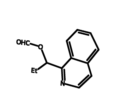 CCC(OC=O)c1nccc2ccccc12